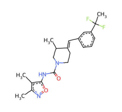 Cc1noc(NC(=O)N2CC/C(=C\c3cccc(C(C)(F)F)c3)C(C)C2)c1C